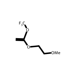 C=C(OCCOC)OC(F)(F)F